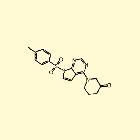 Cc1ccc(S(=O)(=O)n2ccc3c(N4CCCC(=O)C4)ncnc32)cc1